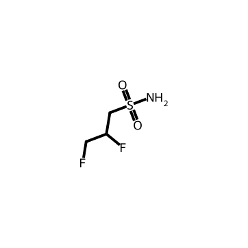 NS(=O)(=O)CC(F)CF